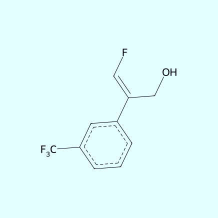 OCC(=CF)c1cccc(C(F)(F)F)c1